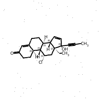 CC#C[C@]1(O)C=C[C@H]2[C@@H]3CCC4=CC(=O)CC[C@@H]4[C@H]3[C@@H](Cl)C[C@@]21CC